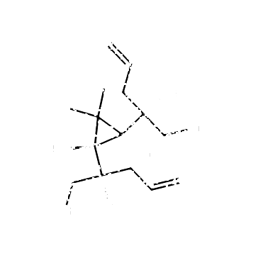 C=CC[C@@](O)(CO)[C@]1(O)C(C)(C)[C@@]1(O)[C@](O)(CO)CC=C